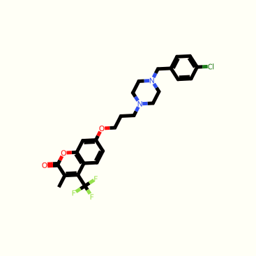 Cc1c(C(F)(F)F)c2ccc(OCCCN3CCN(Cc4ccc(Cl)cc4)CC3)cc2oc1=O